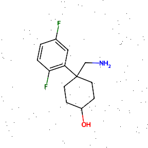 NCC1(c2cc(F)ccc2F)CCC(O)CC1